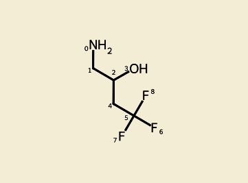 NCC(O)CC(F)(F)F